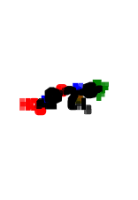 CCc1sc(-c2ccc(C(F)(F)F)cc2)nc1CCOc1ccc2c(ccn2CC(=O)O)c1